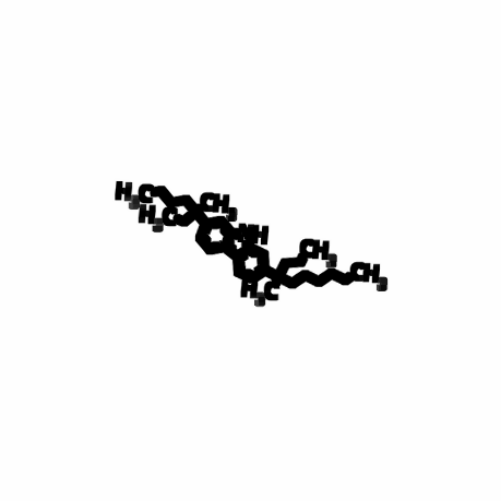 CCCCCCC(C)(CCC)c1ccc2c(c1)[nH]c1cc(C(C)(CC)CCCC)ccc12